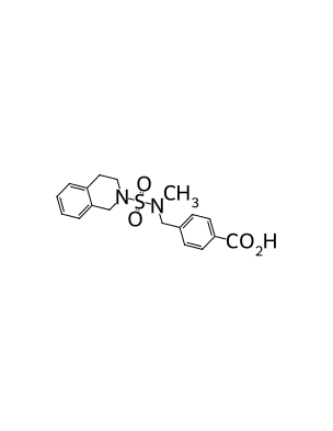 CN(Cc1ccc(C(=O)O)cc1)S(=O)(=O)N1CCc2ccccc2C1